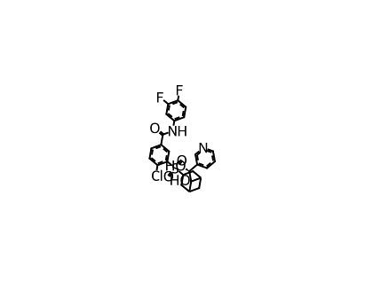 O=C(Nc1ccc(F)c(F)c1)c1ccc(Cl)c(S(=O)(=O)C2CC3CC(C2)C3(O)[C@@H](O)c2cccnc2)c1